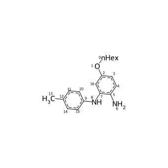 CCCCCCOc1ccc(N)c(Nc2ccc(C)cc2)c1